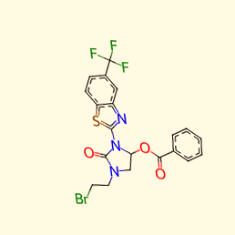 O=C(OC1CN(CCBr)C(=O)N1c1nc2cc(C(F)(F)F)ccc2s1)c1ccccc1